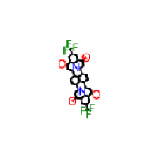 O=c1cc2c3ccc4c5c(ccc(c35)c3cc(=O)c5cc(C(F)(F)F)cc1c5n23)c1cc(=O)c2cc(C(F)(F)F)cc3c(=O)cc4n1c32